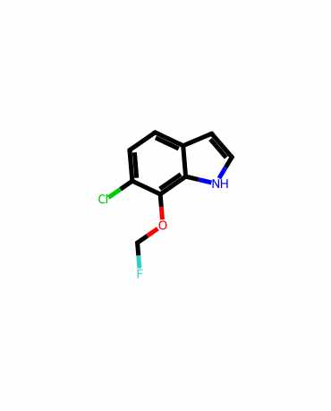 FCOc1c(Cl)ccc2cc[nH]c12